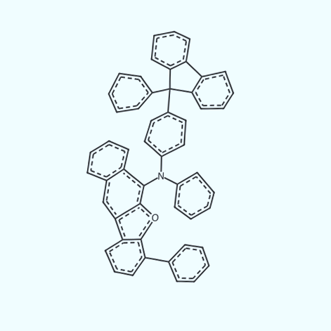 c1ccc(-c2cccc3c2oc2c(N(c4ccccc4)c4ccc(C5(c6ccccc6)c6ccccc6-c6ccccc65)cc4)c4ccccc4cc23)cc1